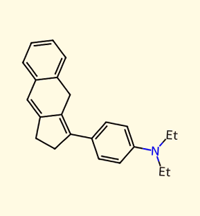 CCN(CC)c1ccc(C2=C3Cc4ccccc4C=C3CC2)cc1